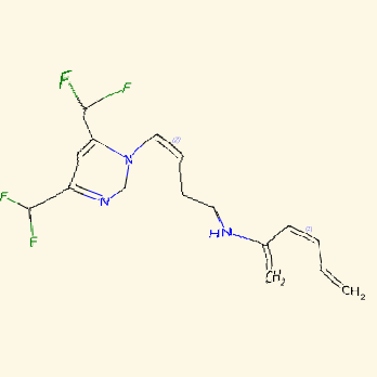 C=C/C=C\C(=C)NCC/C=C\N1CN=C(C(F)F)C=C1C(F)F